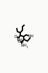 CCCC(CC)C(C(N)=O)C1CNCCC1C(N)=O